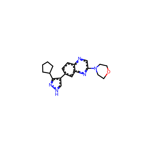 c1cc2ncc(N3CCOCC3)nc2cc1-c1c[nH]nc1C1CCCC1